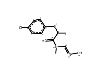 CC(Sc1ccc(Cl)cc1)C(=O)N(C)C=NO